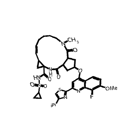 COc1ccc2c(OC3CC4C(=O)NC5(C(=O)NS(=O)(=O)C6CC6)CC5C=CCCCCN(C)C(=O)C4C3)cc(-c3nc(C(C)C)cs3)nc2c1F